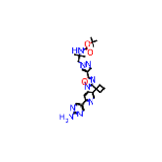 CC(C)(Cn1cc(-c2nc(C3(c4ccc(-c5cnc(N)nc5)nc4)CCC3)no2)cn1)NC(=O)OC(C)(C)C